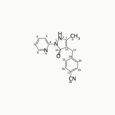 Cc1[nH]n(-c2ccccn2)c(=O)c1Cc1ccc(C#N)cc1